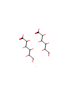 O.O=C([O-])C(O)C(O)C(O)C(O)CO.O=C([O-])C(O)C(O)C(O)C(O)CO.[Fe+2]